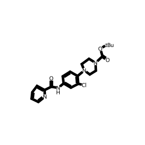 CC(C)(C)OC(=O)N1CCN(c2ccc(NC(=O)c3ccccn3)cc2Cl)CC1